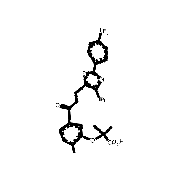 Cc1ccc(C(=O)CCc2sc(-c3ccc(C(F)(F)F)cc3)nc2C(C)C)cc1OC(C)(C)C(=O)O